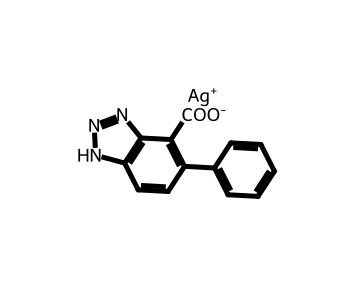 O=C([O-])c1c(-c2ccccc2)ccc2[nH]nnc12.[Ag+]